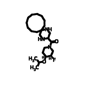 CC(C)O[C@H]1CCN(C(=O)C2CNC3(CCCCCCCCCC3)CN2)C[C@H]1F